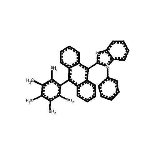 Bc1c(B)c(B)c(-c2c3ccccc3c(-c3nc4ccccc4n3-c3ccccc3)c3ccccc23)c(B)c1B